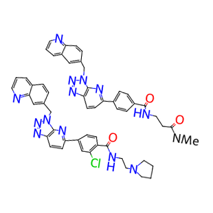 CNC(=O)CCNC(=O)c1ccc(-c2ccc3nnn(Cc4ccc5ncccc5c4)c3n2)cc1.O=C(NCCN1CCCC1)c1ccc(-c2ccc3nnn(Cc4ccc5cccnc5c4)c3n2)cc1Cl